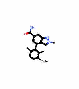 COc1ccc(C)c(-c2cc(C(N)=O)cc3nn(C)cc23)c1C